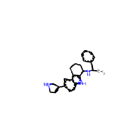 CC(NC1CCCc2c1[nH]c1ccc(C3=CCNC3)cc21)c1ccccc1